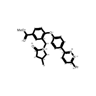 COC(=O)c1ccc(Oc2ccc(-c3ccc(C(C)C)nn3)cc2)c(CN2CC(C)CC2=O)c1